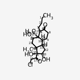 CCCC[C@@]1(C)C(=O)CC[C@H]2[C@@H]3C[C@@H](O)[C@](O)(C(=O)CCl)[C@@]3(C)C[C@H](O)[C@@]21F